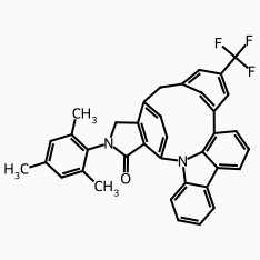 Cc1cc(C)c(N2Cc3c4ccc(c3C2=O)-n2c3ccccc3c3cccc(c32)-c2cc(cc(C(F)(F)F)c2)C4)c(C)c1